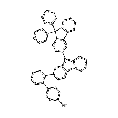 Brc1ccc(-c2ccccc2-c2ccc3c4ccccc4n(-c4ccc5c(c4)-c4ccccc4C5(c4ccccc4)c4ccccc4)c3c2)cc1